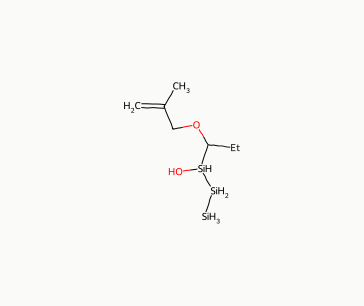 C=C(C)COC(CC)[SiH](O)[SiH2][SiH3]